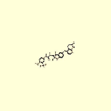 COc1ccc(NC(=O)NC2[C@H]3Oc4ccc(Oc5ccnc6c5CCC(=O)N6)cc4[C@@H]23)cc1C(F)(F)F